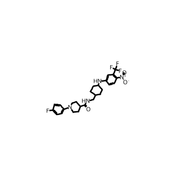 O=C(NCC1CCC(Nc2ccc([N+](=O)[O-])c(C(F)(F)F)c2)CC1)C1CCN(c2ccc(F)cc2)CC1